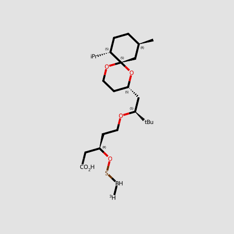 [3H]BSO[C@H](CCO[C@@H](C[C@@H]1CCO[C@@]2(C[C@H](C)CC[C@H]2C(C)C)O1)C(C)(C)C)CC(=O)O